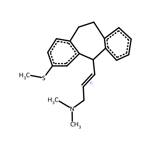 CSc1ccc2c(c1)C(/C=C/CN(C)C)c1ccccc1CC2